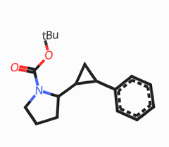 CC(C)(C)OC(=O)N1CCCC1C1CC1c1ccccc1